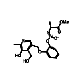 COC(=O)[C@H](C)N=[P+]([O-])Oc1ccccc1OCc1cnc(C)c(O)c1CO